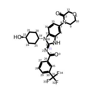 O=C(/N=c1\[nH]c2cc(N3CCOCC3=O)ccc2n1[C@H]1CC[C@H](O)CC1)c1cccc(C(F)(F)F)c1